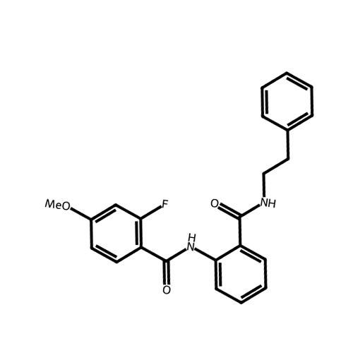 COc1ccc(C(=O)Nc2ccccc2C(=O)NCCc2ccccc2)c(F)c1